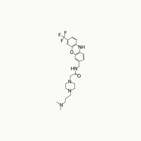 CN(C)CCCN1CCN(CC(=O)NCc2ccc3c(c2)Oc2cc(C(F)(F)F)ccc2N3)CC1